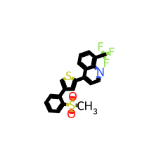 CS(=O)(=O)c1ccccc1-c1csc(-c2ccnc3c(C(F)(F)F)cccc23)c1